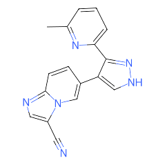 Cc1cccc(-c2n[nH]cc2-c2ccc3ncc(C#N)n3c2)n1